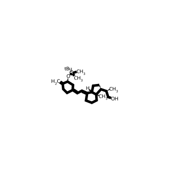 C=C1CC/C(=C/C=C2\CCC[C@]3(C)[C@@H]([C@H](C)CO)CC[C@@H]23)C[C@H]1O[Si](C)(C)C(C)(C)C